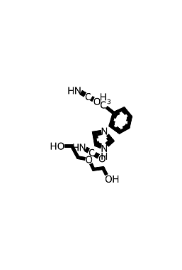 Cc1ccccc1.N=C=O.N=C=O.OCCOCCO.c1c[nH]cn1